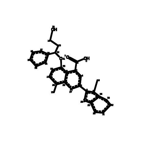 Cc1c(-c2cc(C(=O)O)c3c(OC(CCO)c4ccccc4)ccc(C)c3n2)sc2ccccc12